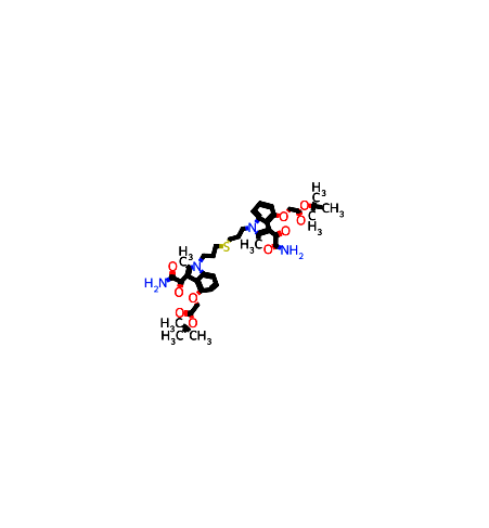 Cc1c(C(=O)C(N)=O)c2c(OCC(=O)OC(C)(C)C)cccc2n1CCCSCCCn1c(C)c(C(=O)C(N)=O)c2c(OCC(=O)OC(C)(C)C)cccc21